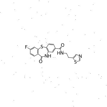 O=C(NCCc1cncs1)c1ccc2c(c1)NC(=O)c1ccc(F)cc1S2